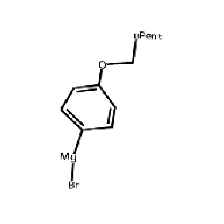 CCCCCCOc1cc[c]([Mg][Br])cc1